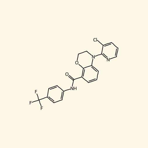 O=C(Nc1ccc(C(F)(F)F)cc1)c1cccc2c1OCCN2c1ncccc1Cl